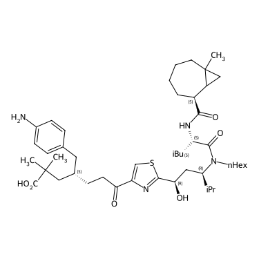 CCCCCCN(C(=O)[C@@H](NC(=O)[C@H]1CCCCC2(C)CC12)[C@@H](C)CC)[C@H](C[C@@H](O)c1nc(C(=O)CC[C@@H](Cc2ccc(N)cc2)CC(C)(C)C(=O)O)cs1)C(C)C